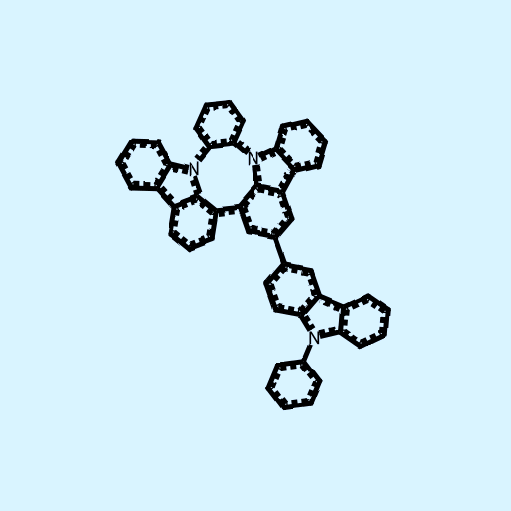 c1ccc(-n2c3ccccc3c3cc(-c4cc5c6ccccc6n6c7ccccc7n7c8ccccc8c8cccc(c(c4)c56)c87)ccc32)cc1